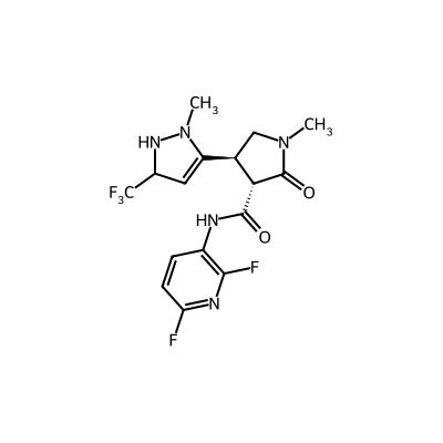 CN1C[C@H](C2=CC(C(F)(F)F)NN2C)[C@@H](C(=O)Nc2ccc(F)nc2F)C1=O